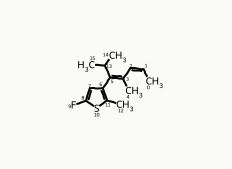 C/C=C\C(C)=C(\c1cc(F)sc1C)C(C)C